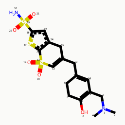 CN(C)CC1=C(O)CCC(CC2=CS(=O)(=O)c3sc(S(N)(=O)=O)cc3C2)=C1